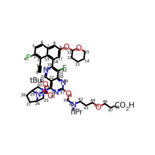 C#Cc1c(F)ccc2cc(OC3CCCCO3)cc(-c3ncc4c(N5CC6CCC(C5)N6C(=O)OC(C)(C)C)nc(OCN(CCC)CCCOCCC(=O)O)nc4c3F)c12